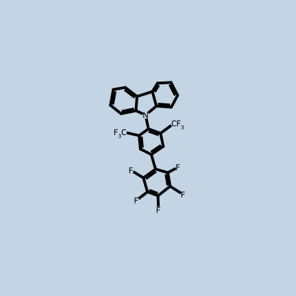 Fc1c(F)c(F)c(-c2cc(C(F)(F)F)c(-n3c4ccccc4c4ccccc43)c(C(F)(F)F)c2)c(F)c1F